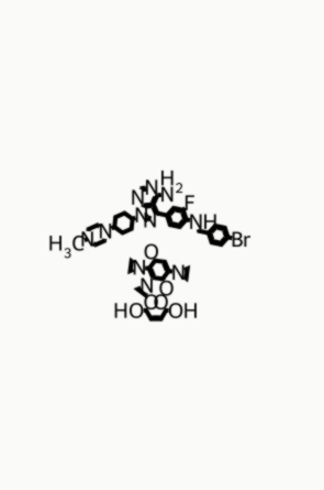 CN1CCN(C2CCC(n3nc(-c4ccc(NCc5ccc(Br)cc5)c(F)c4)c4c(N)ncnc43)CC2)CC1.O=C(O)/C=C\C(=O)O.O=C1C=C(N2CC2)C(=O)C(N2CC2)=C1N1CC1